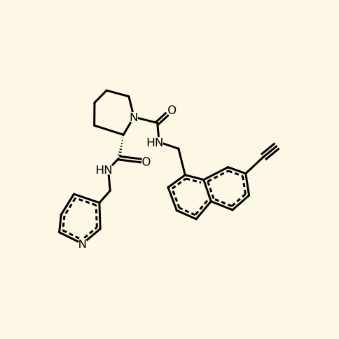 C#Cc1ccc2cccc(CNC(=O)N3CCCC[C@H]3C(=O)NCc3cccnc3)c2c1